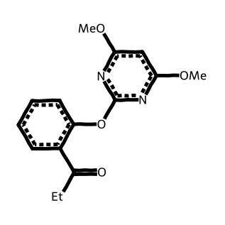 CCC(=O)c1ccccc1Oc1nc(OC)cc(OC)n1